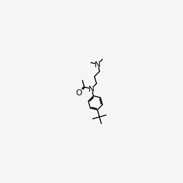 CC(=O)N(CCCN(C)C)c1ccc(C(C)(C)C)cc1